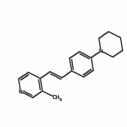 Cc1cnccc1/C=C/c1ccc(N2CCCCC2)cc1